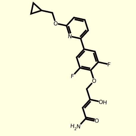 NC(=O)/C=C(\O)COc1c(F)cc(-c2cccc(OCC3CC3)n2)cc1F